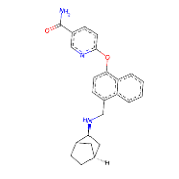 NC(=O)c1ccc(Oc2ccc(CN[C@H]3C[C@H]4CCC3C4)c3ccccc23)nc1